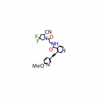 COc1ccc(C#Cc2cnccc2C(=O)NCC(=O)N2CC(F)(F)CC2C#N)cn1